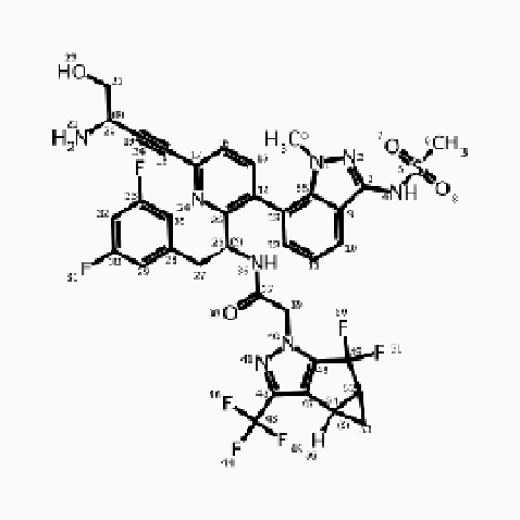 Cn1nc(NS(C)(=O)=O)c2cccc(-c3ccc(C#C[C@@H](N)CO)nc3[C@H](Cc3cc(F)cc(F)c3)NC(=O)Cn3nc(C(F)(F)F)c4c3C(F)(F)C3C[C@H]43)c21